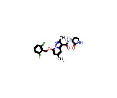 Cc1cc(OCc2c(F)cccc2F)n2nc(C)c(C(=O)N[C@@H]3CCNC3=O)c2c1